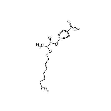 CCCCCCCCOC(C)C(=O)Oc1ccc(C(=O)O)cc1